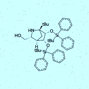 CC(C)(C)[C@]12C[C@@H]([C@@H](O[Si](c3ccccc3)(c3ccccc3)C(C)(C)C)[C@H]1O[Si](c1ccccc1)(c1ccccc1)C(C)(C)C)[C@H](CO)N2